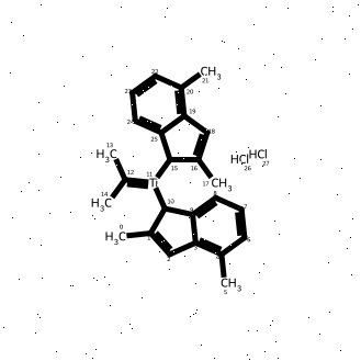 CC1=Cc2c(C)cccc2[CH]1[Ti](=[C](C)C)[CH]1C(C)=Cc2c(C)cccc21.Cl.Cl